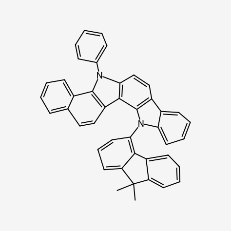 CC1(C)c2ccccc2-c2c(-n3c4ccccc4c4ccc5c(c6ccc7ccccc7c6n5-c5ccccc5)c43)cccc21